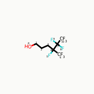 OCCCC(F)(C(F)(F)F)C(F)(F)C(F)(F)F